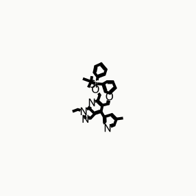 CCn1ncc2c(-c3cncc(C)c3)c(C=O)c(CO[Si](c3ccccc3)(c3ccccc3)C(C)(C)C)nc21